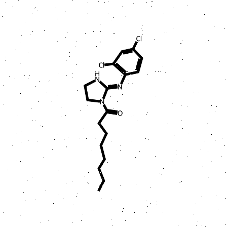 CCCCCCCC(=O)N1CCN/C1=N\c1ccc(Cl)cc1Cl